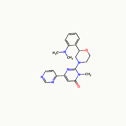 CN(C)c1ccccc1C1CN(c2nc(-c3ccncn3)cc(=O)n2C)CCO1